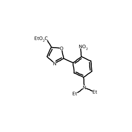 CCOC(=O)c1cnc(-c2cc(N(CC)CC)ccc2[N+](=O)[O-])o1